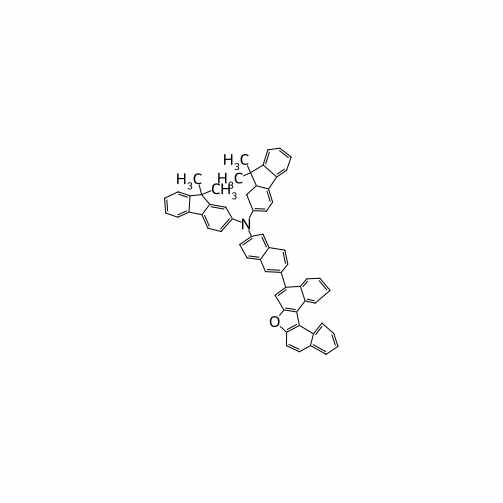 CC1(C)c2ccccc2-c2ccc(N(C3=CC=C4c5ccccc5C(C)(C)C4C3)c3ccc4cc(-c5cc6oc7ccc8ccccc8c7c6c6ccccc56)ccc4c3)cc21